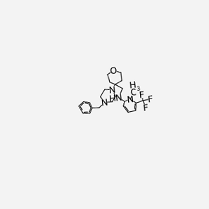 CN1C(C(F)(F)F)=CC=CC1NCC1(N2CCN(Cc3ccccc3)CC2)CCOCC1